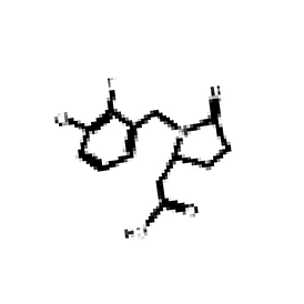 O=C(O)CC1CCC(=O)N1Cc1cccc(Cl)c1F